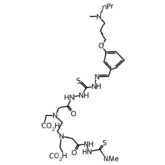 CCCN(C)CCCOc1cccc(/C=N/NC(=S)NNC(=O)CN(CCN(CC(=O)O)CC(=O)NNC(=S)NC)CC(=O)O)c1